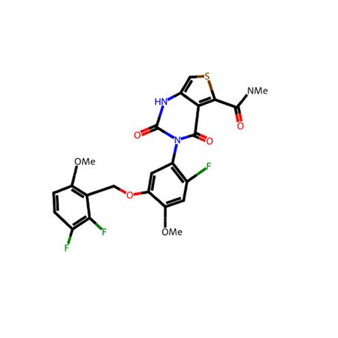 CNC(=O)c1scc2[nH]c(=O)n(-c3cc(OCc4c(OC)ccc(F)c4F)c(OC)cc3F)c(=O)c12